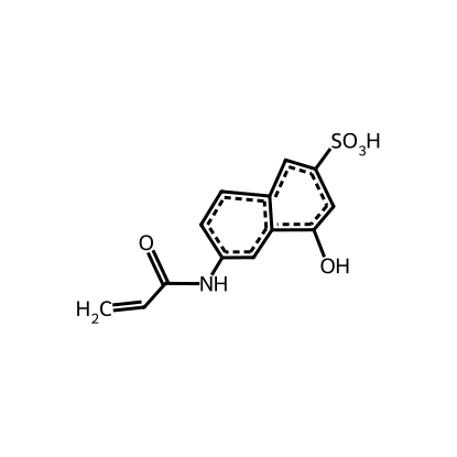 C=CC(=O)Nc1ccc2cc(S(=O)(=O)O)cc(O)c2c1